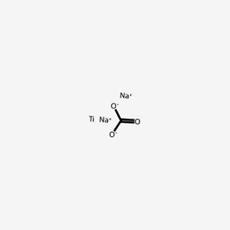 O=C([O-])[O-].[Na+].[Na+].[Ti]